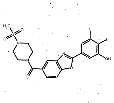 CS(=O)(=O)N1CCN(C(=O)c2ccc3oc(-c4cc(O)c(F)c(F)c4)nc3c2)CC1